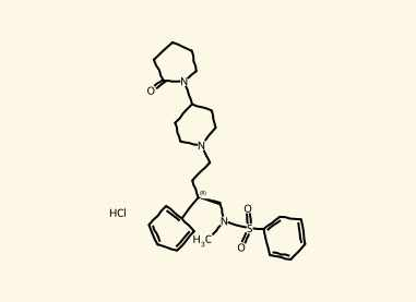 CN(C[C@H](CCN1CCC(N2CCCCC2=O)CC1)c1ccccc1)S(=O)(=O)c1ccccc1.Cl